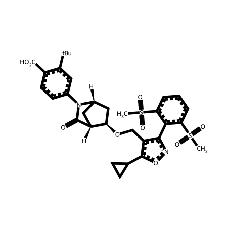 CC(C)(C)c1cc(N2C(=O)[C@@H]3C[C@H]2C[C@H]3OCc2c(-c3c(S(C)(=O)=O)cccc3S(C)(=O)=O)noc2C2CC2)ccc1C(=O)O